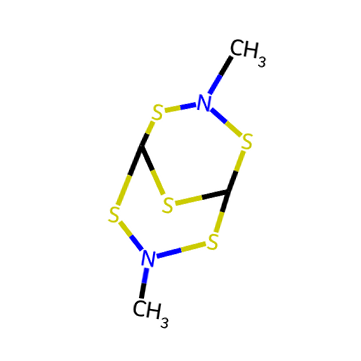 CN1SC2SC(S1)SN(C)S2